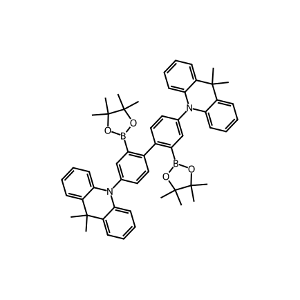 CC1(C)c2ccccc2N(c2ccc(-c3ccc(N4c5ccccc5C(C)(C)c5ccccc54)cc3B3OC(C)(C)C(C)(C)O3)c(B3OC(C)(C)C(C)(C)O3)c2)c2ccccc21